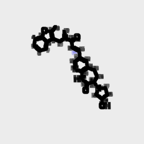 Cc1oc2ccccc2c1CN(C)C(=O)/C=C/c1cnc2c(c1)CC[C@@H](N1CC[C@@H](O)C1)C(=O)N2